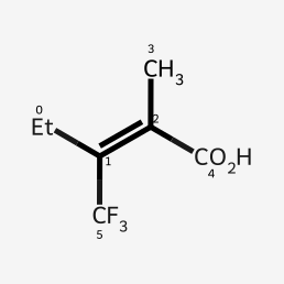 CCC(=C(C)C(=O)O)C(F)(F)F